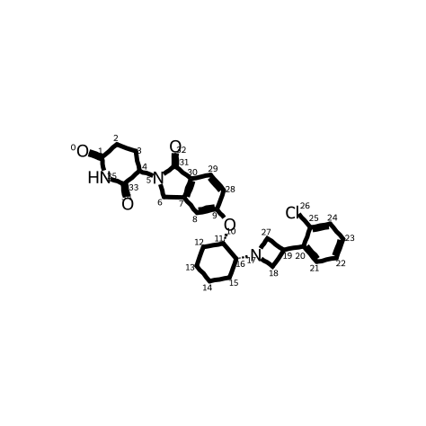 O=C1CCC(N2Cc3cc(O[C@H]4CCCC[C@H]4N4CC(c5ccccc5Cl)C4)ccc3C2=O)C(=O)N1